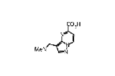 CNCc1cnn2ccc(C(=O)O)nc12